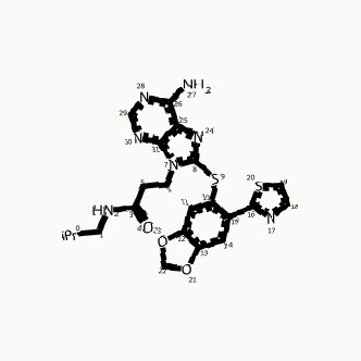 CC(C)CNC(=O)CCn1c(Sc2cc3c(cc2-c2nccs2)OCO3)nc2c(N)ncnc21